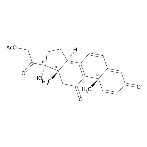 CC(=O)OCC(=O)[C@@]1(O)CC[C@H]2C3=C(C(=O)C[C@@]21C)[C@@]1(C)C=CC(=O)C=C1C=C3